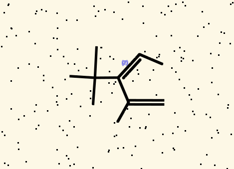 C=C(C)/C(=C\C)C(C)(C)C